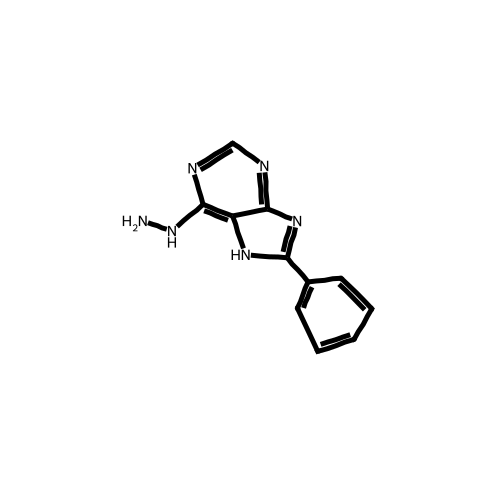 NNc1ncnc2nc(-c3ccccc3)[nH]c12